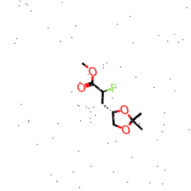 COC(=O)[C@@H](F)C[C@H]1COC(C)(C)O1